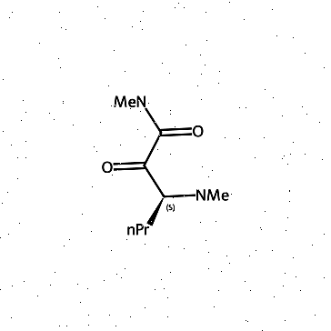 CCC[C@H](NC)C(=O)C(=O)NC